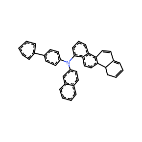 C1=CCC2C(=C1)C=Cc1c2ccc2c(N(c3ccc(-c4ccccc4)cc3)c3ccc4ccccc4c3)cccc12